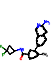 Cc1ccc(C(=O)NC2CC(F)(F)C2)cc1-c1ccc2cc(N)ncc2c1